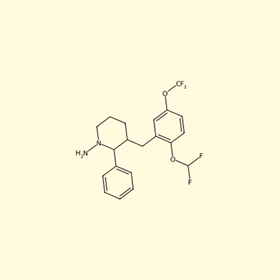 NN1CCCC(Cc2cc(OC(F)(F)F)ccc2OC(F)F)C1c1ccccc1